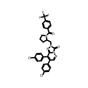 O=C(c1ccc(C(F)(F)F)cc1)N1CCCC1Cn1nc2c(-c3ccc(Cl)cc3)c(-c3ccc(Cl)cc3)cnn2c1=O